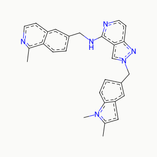 Cc1nccc2cc(CNc3nccc4nn(Cc5ccc6c(c5)cc(C)n6C)cc34)ccc12